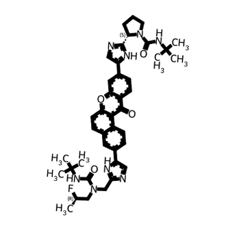 C[C@@H](F)CN(Cc1ncc(-c2ccc3c(ccc4oc5cc(-c6cnc([C@@H]7CCCN7C(=O)NC(C)(C)C)[nH]6)ccc5c(=O)c43)c2)[nH]1)C(=O)NC(C)(C)C